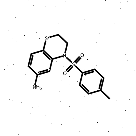 Cc1ccc(S(=O)(=O)N2CCSc3ccc(N)cc32)cc1